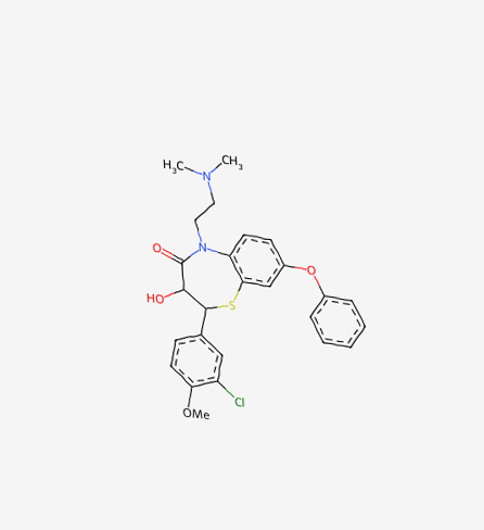 COc1ccc(C2Sc3cc(Oc4ccccc4)ccc3N(CCN(C)C)C(=O)C2O)cc1Cl